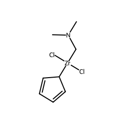 CN(C)[CH2][Zr]([Cl])([Cl])[CH]1C=CC=C1